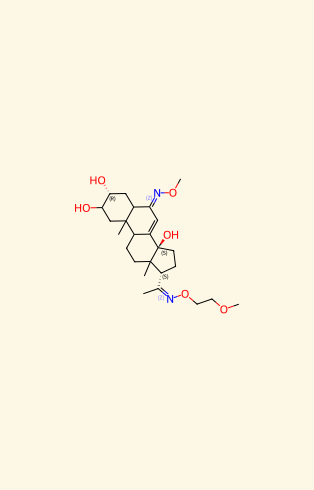 COCCO/N=C(/C)[C@H]1CC[C@@]2(O)C3=C/C(=N\OC)C4C[C@@H](O)C(O)CC4(C)C3CCC12C